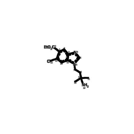 CCOC(=O)c1cc2ncn(CCC(C)(C)N)c2cc1Cl